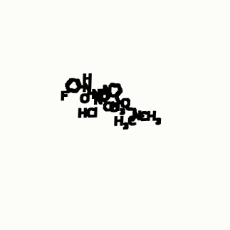 CC(=NNC(=O)Nc1cccc(F)c1)c1ncccc1C(=O)OCCN(C)C.Cl